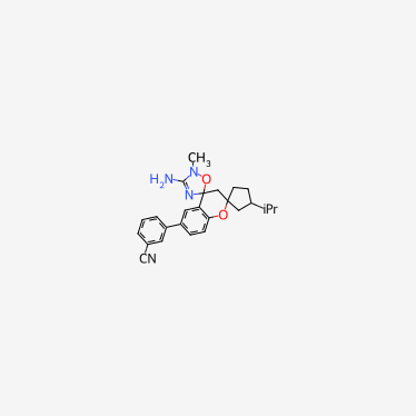 CC(C)C1CCC2(C1)CC1(N=C(N)N(C)O1)c1cc(-c3cccc(C#N)c3)ccc1O2